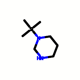 C[Si](C)(C)N1CCCNC1